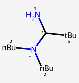 CCCCN(CCCC)C(N)C(C)(C)C